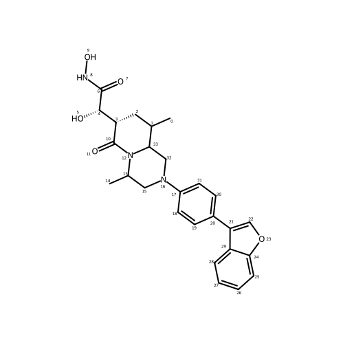 CC1C[C@@H]([C@H](O)C(=O)NO)C(=O)N2C(C)CN(c3ccc(-c4coc5ccccc45)cc3)CC12